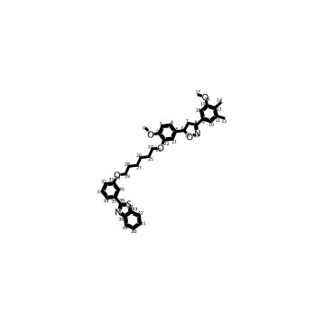 COc1ccc(C2CC(c3cc(C)c(C)c(OC)c3)=NO2)cc1OCCCCCCOc1cccc(-c2nc3ccccc3s2)c1